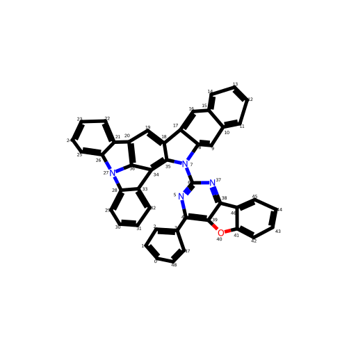 c1ccc(-c2nc(-n3c4cc5ccccc5cc4c4cc5c6ccccc6n6c7ccccc7c(c43)c56)nc3c2oc2ccccc23)cc1